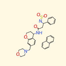 O=C(CC(N=S(=O)=O)c1ccccc1)NC1CCOc2cc(CN3CCOCC3)ccc21.c1ccc2ccccc2c1